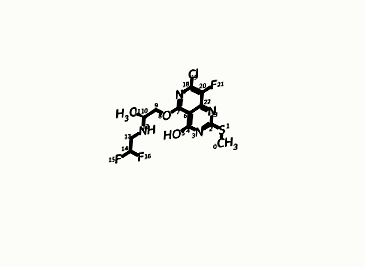 CSc1nc(O)c2c(OC[C@H](C)NCC(F)F)nc(Cl)c(F)c2n1